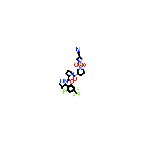 CC(C)[C@@H](NC(=O)[C@H]1CCCN1C(=O)[C@H]1CCCN(S(=O)(=O)N2CC(C#N)C2)C1)c1ccc(C(F)(F)F)cc1F